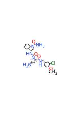 COc1ccc(CNC(=O)[C@@H]2C[C@H](N)CN2C(=O)Nc2cn(C(N)=O)c3ccccc23)cc1Cl